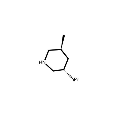 CC(C)[C@@H]1CNC[C@@H](C)C1